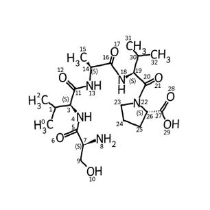 CC(C)[C@H](NC(=O)[C@@H](N)CO)C(=O)N[C@@H](C)C(=O)N[C@H](C(=O)N1CCC[C@H]1C(=O)O)C(C)C